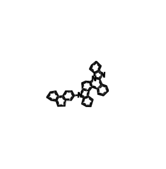 c1ccc2c(c1)ccc1cc(-n3c4ccccc4c4c5c6ccccc6c6nc7ccccc7n6c5ccc43)ccc12